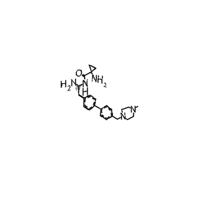 CN1CCN(Cc2ccc(-c3ccc(C[C@@H](N)NC(=O)C4(N)CC4)cc3)cc2)CC1